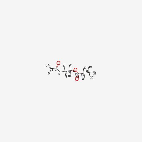 C=C(C)C(=O)CC(C)(C)C(C)(C)OC(=O)C(C)(C)C(C)(C)C